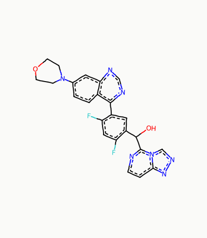 OC(c1cc(-c2ncnc3cc(N4CCOCC4)ccc23)c(F)cc1F)c1nccc2nncn12